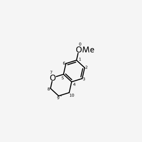 COc1ccc2c(c1)OC[CH]C2